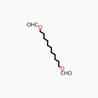 O=[C]OCCCCCCCCCCCOC=O